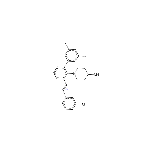 Cc1cc(F)cc(-c2cncc(/C=C/c3cccc(Cl)c3)c2N2CCC(N)CC2)c1